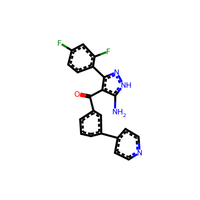 Nc1[nH]nc(-c2ccc(F)cc2F)c1C(=O)c1cccc(-c2ccncc2)c1